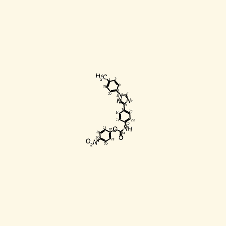 Cc1ccc(-n2cnc(-c3ccc(NC(=O)Oc4ccc([N+](=O)[O-])cc4)cc3)n2)cc1